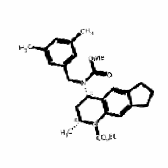 CCOC(=O)N1c2cc3c(cc2[C@@H](N(Cc2cc(C)cc(C)c2)C(=O)OC)C[C@H]1C)CCC3